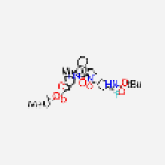 CO[C@@H](C)COC(=O)c1cc2cc(NC(=O)[C@@H]3[C@H](C4(OC)CCCCC4)CCN3C(=O)C3CCC([C@@H](CF)NC(=O)OC(C)(C)C)CC3)ccc2o1